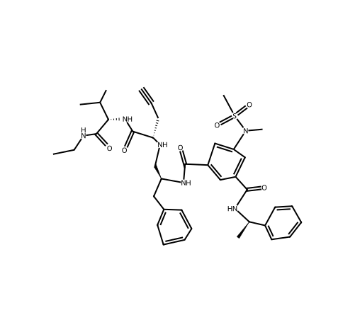 C#CC[C@H](NC[C@H](Cc1ccccc1)NC(=O)c1cc(C(=O)N[C@H](C)c2ccccc2)cc(N(C)S(C)(=O)=O)c1)C(=O)N[C@H](C(=O)NCC)C(C)C